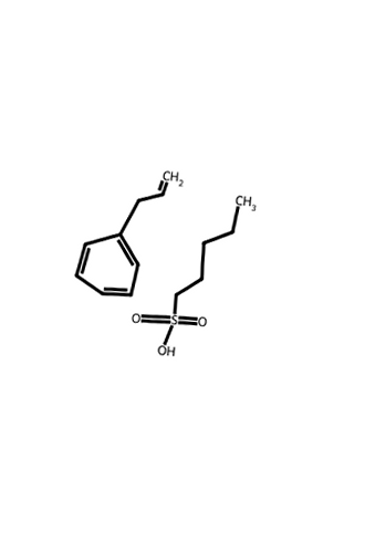 C=CCc1ccccc1.CCCCCS(=O)(=O)O